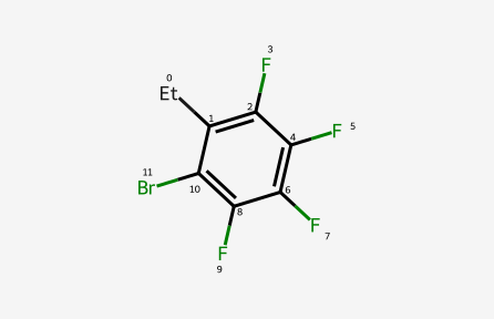 CCc1c(F)c(F)c(F)c(F)c1Br